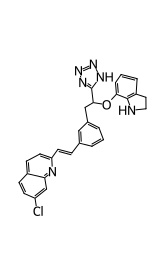 Clc1ccc2ccc(C=Cc3cccc(CC(Oc4cccc5c4NCC5)c4nnn[nH]4)c3)nc2c1